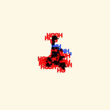 C[C@@H]1O[C@@H](OCCN(CCO[C@H]2O[C@H](CO[C@H]3O[C@H](CO)[C@@H](O)[C@H](O)[C@@H]3O)[C@@H](O)[C@H](O[C@H]3O[C@H](CO)[C@@H](O)[C@H](O)[C@@H]3O)[C@@H]2O)NC(=O)CN(CC(N)=O)CC(=O)NCCO[C@H]2O[C@H](CO[C@H]3O[C@H](CO)[C@@H](O)[C@H](O)[C@@H]3O)[C@@H](O)[C@H](O[C@H]3O[C@H](CO)[C@@H](O)[C@H](O)[C@@H]3O)[C@@H]2O)[C@@H](O)[C@H](O)[C@@H]1O